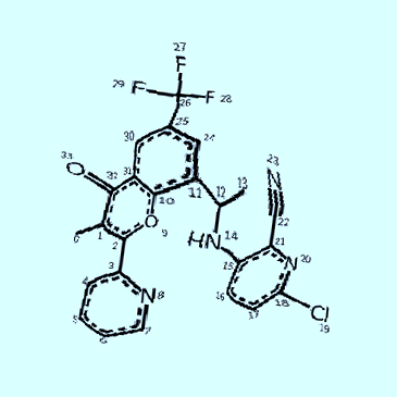 Cc1c(-c2ccccn2)oc2c(C(C)Nc3ccc(Cl)nc3C#N)cc(C(F)(F)F)cc2c1=O